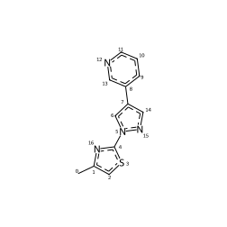 Cc1csc(-n2cc(-c3cccnc3)cn2)n1